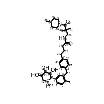 Cc1ccc([C@H]2[C@H](O)[C@H](O)[C@H](O)C[SH]2C)cc1Cc1ccc(CCCC(=O)NCC(C)(C)C(=O)N2CCN(C)CC2)cc1